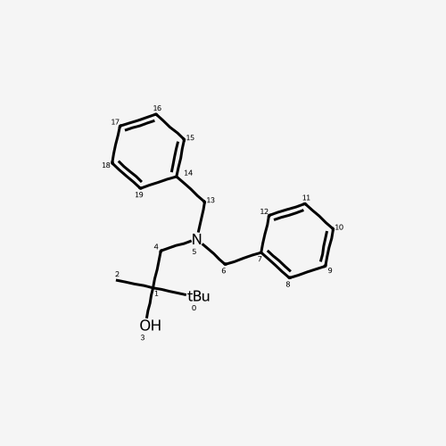 CC(C)(C)C(C)(O)CN(Cc1ccccc1)Cc1ccccc1